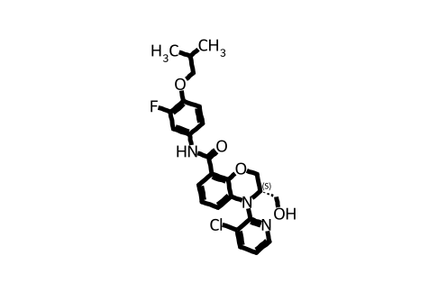 CC(C)COc1ccc(NC(=O)c2cccc3c2OC[C@H](CO)N3c2ncccc2Cl)cc1F